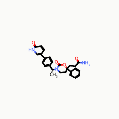 C[C@@H](c1ccc(-c2ccc(=O)[nH]c2)cc1)N1CCC(CCC(N)=O)(c2ccccc2)OC1=O